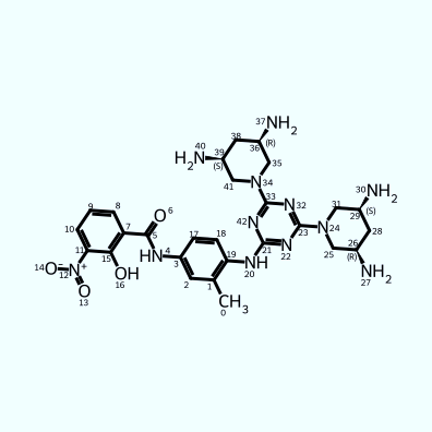 Cc1cc(NC(=O)c2cccc([N+](=O)[O-])c2O)ccc1Nc1nc(N2C[C@H](N)C[C@H](N)C2)nc(N2C[C@H](N)C[C@H](N)C2)n1